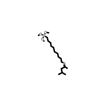 CO[Si](CCCCCCCCCCN=C(C)CC(C)C)(OC)OC